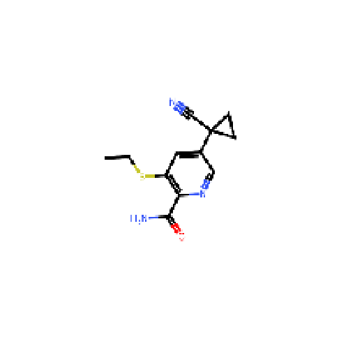 CCSc1cc(C2(C#N)CC2)cnc1C(N)=O